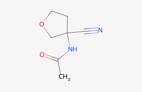 CC(=O)NC1(C#N)CCOC1